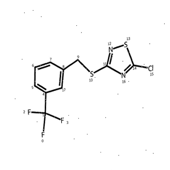 FC(F)(F)c1cccc(CSc2nsc(Cl)n2)c1